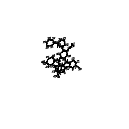 Cc1ccc2c(c1)c1cc(C)ccc1n2-c1cc(C#N)c(-c2cccc(-c3ccccc3)n2)cc1-n1c2ccc(C)cc2c2cc(C)ccc21